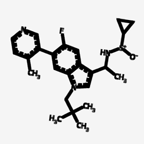 Cc1ccncc1-c1cc2c(cc1F)c(C(C)N[S+]([O-])C1CC1)cn2CC(C)(C)C